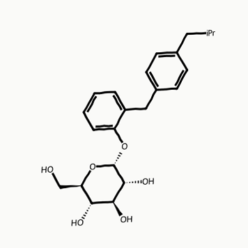 CC(C)Cc1ccc(Cc2ccccc2O[C@H]2O[C@H](CO)[C@@H](O)[C@H](O)[C@H]2O)cc1